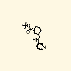 CC(C)(C)OC(=O)N1CCCC(CNc2cccnc2)C1